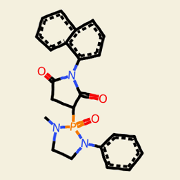 CN1CCN(c2ccccc2)P1(=O)C1CC(=O)N(c2cccc3ccccc23)C1=O